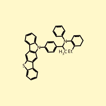 CCC1=C(N(c2ccccc2)C(C)c2ccc(-n3c4ccccc4c4cc5sc6ccccc6c5cc43)cc2)C=CCC1